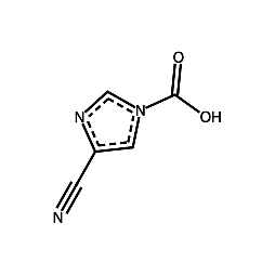 N#Cc1cn(C(=O)O)cn1